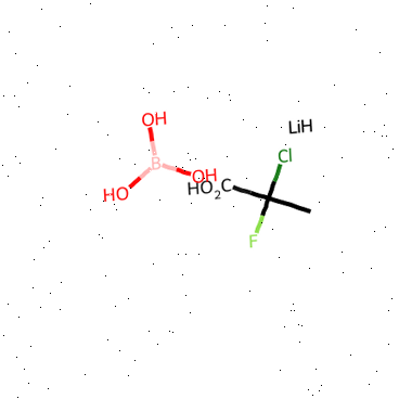 CC(F)(Cl)C(=O)O.OB(O)O.[LiH]